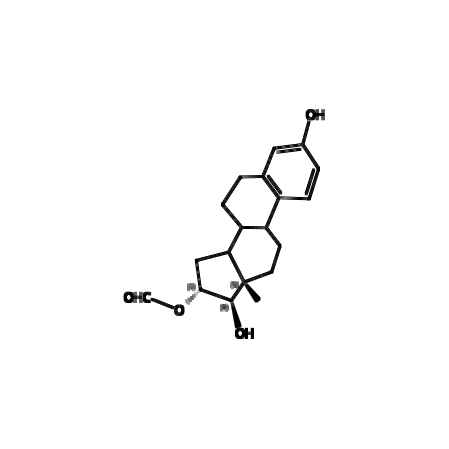 C[C@]12CCC3c4ccc(O)cc4CCC3C1C[C@@H](OC=O)[C@@H]2O